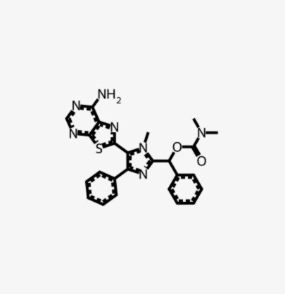 CN(C)C(=O)OC(c1ccccc1)c1nc(-c2ccccc2)c(-c2nc3c(N)ncnc3s2)n1C